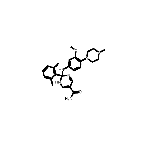 COc1cc(NC2(c3c(C)cccc3C)N=CC(C(N)=O)=CN2)ccc1N1CCN(C)CC1